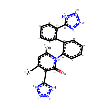 CCCCc1cc(C)c(-c2nnn[nH]2)c(=O)n1-c1ccccc1-c1ccccc1-c1nnn[nH]1